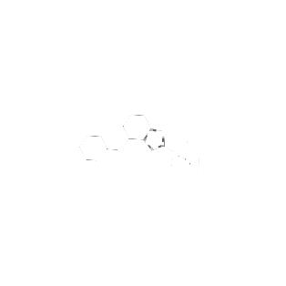 NS(=O)(=O)c1cc2c(s1)CCCC2OC1CCCCO1